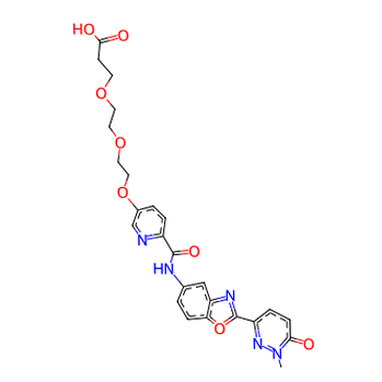 Cn1nc(-c2nc3cc(NC(=O)c4ccc(OCCOCCOCCC(=O)O)cn4)ccc3o2)ccc1=O